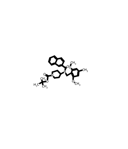 COc1cc(C)cc(OC)c1CN(C(=O)c1ccc2ccccc2c1)C1CCN(C(=O)OC(C)(C)C)CC1